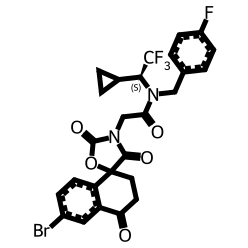 O=C1CCC2(OC(=O)N(CC(=O)N(Cc3ccc(F)cc3)[C@@H](C3CC3)C(F)(F)F)C2=O)c2ccc(Br)cc21